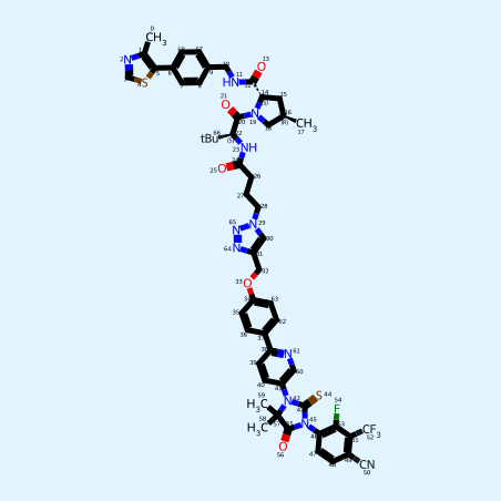 Cc1ncsc1-c1ccc(CNC(=O)[C@@H]2C[C@@H](C)CN2C(=O)[C@@H](NC(=O)CCCn2cc(COc3ccc(-c4ccc(N5C(=S)N(c6ccc(C#N)c(C(F)(F)F)c6F)C(=O)C5(C)C)cn4)cc3)nn2)C(C)(C)C)cc1